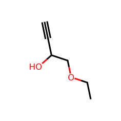 C#CC(O)COCC